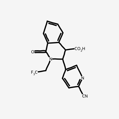 N#Cc1ccc(C2C(C(=O)O)c3ccccc3C(=O)N2CC(F)(F)F)cn1